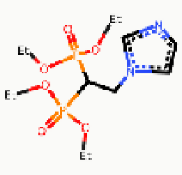 CCOP(=O)(OCC)C(Cn1ccnc1)P(=O)(OCC)OCC